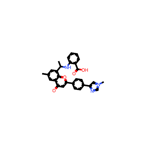 Cc1cc(C(C)Nc2ccccc2C(=O)O)c2oc(-c3ccc(-c4cn(C)cn4)cc3)cc(=O)c2c1